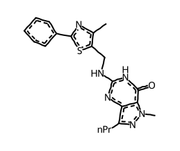 CCCc1nn(C)c2c(=O)[nH]c(NCc3sc(-c4ccccc4)nc3C)nc12